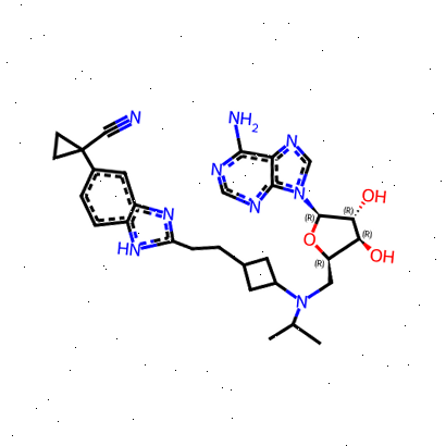 CC(C)N(C[C@H]1O[C@@H](n2cnc3c(N)ncnc32)[C@H](O)[C@H]1O)C1CC(CCc2nc3cc(C4(C#N)CC4)ccc3[nH]2)C1